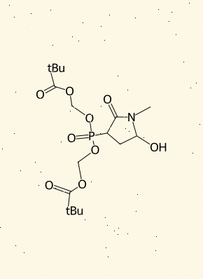 CN1C(=O)C(P(=O)(OCOC(=O)C(C)(C)C)OCOC(=O)C(C)(C)C)CC1O